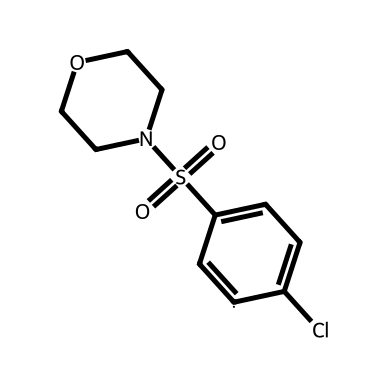 O=S(=O)(c1c[c]c(Cl)cc1)N1CCOCC1